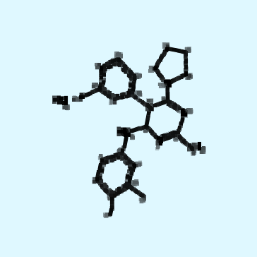 Cc1ccc(NC2N=C(N)N=C(N3CCCC3)N2c2cccc(F)c2)cc1C.Cl